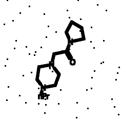 CCCN1CCN(CC(=O)N2CCCC2)CC1